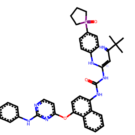 CC(C)(C)C(=N)/C=C(/NC(=O)Nc1ccc(Oc2ccnc(Nc3ccccc3)n2)c2ccccc12)Nc1ccc(P2(=O)CCCC2)cc1